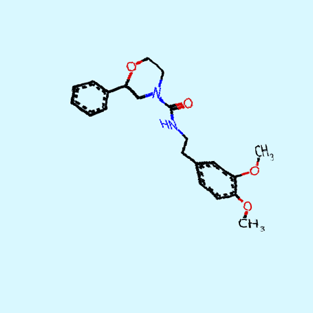 COc1ccc(CCNC(=O)N2CCOC(c3ccccc3)C2)cc1OC